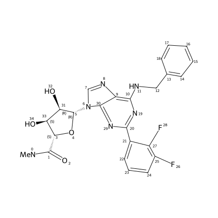 CNC(=O)[C@H]1O[C@@H](n2cnc3c(NCc4ccccc4)nc(-c4cccc(F)c4F)nc32)[C@H](O)[C@@H]1O